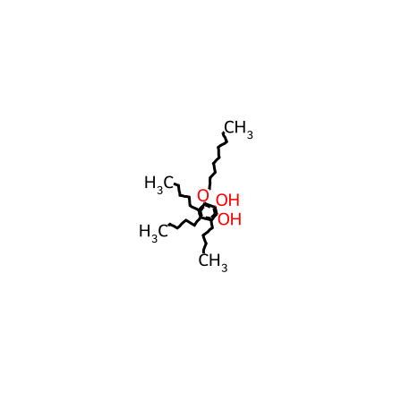 CCCCCCCCCOc1c(O)c(O)c(CCCCC)c(CCCCC)c1CCCCC